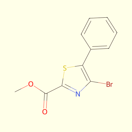 COC(=O)c1nc(Br)c(-c2ccccc2)s1